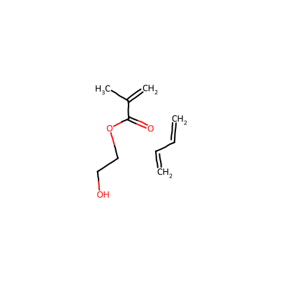 C=C(C)C(=O)OCCO.C=CC=C